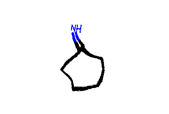 N=C1CCCC1